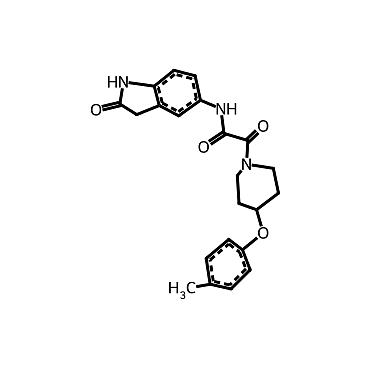 Cc1ccc(OC2CCN(C(=O)C(=O)Nc3ccc4c(c3)CC(=O)N4)CC2)cc1